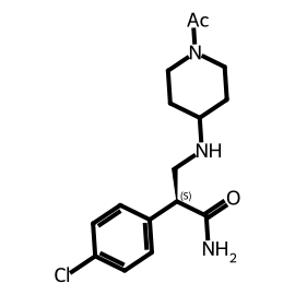 CC(=O)N1CCC(NC[C@@H](C(N)=O)c2ccc(Cl)cc2)CC1